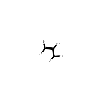 FC(F)=C(F)C(F)F